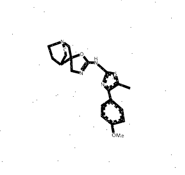 COc1ccc(-c2nc(NC3=NCC4(CN5CCC4CC5)O3)sc2C)cc1